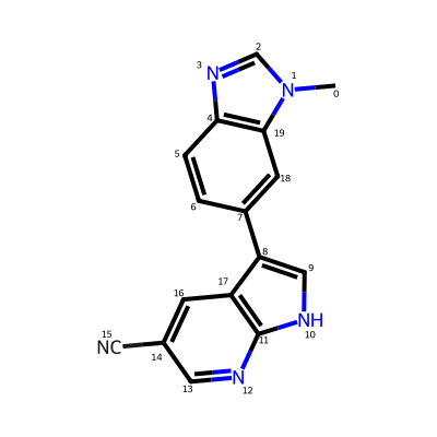 Cn1cnc2ccc(-c3c[nH]c4ncc(C#N)cc34)cc21